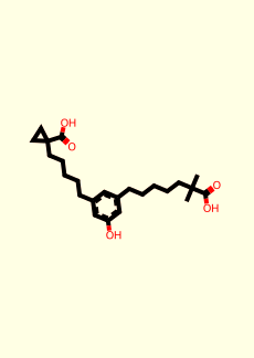 CC(C)(CCCCCc1cc(O)cc(CCCCCC2(C(=O)O)CC2)c1)C(=O)O